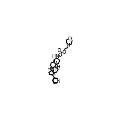 C[C@]12CCC(NOC(=O)OCCN3CCOCC3)C=C1CC[C@H]1[C@@H]2CC[C@]2(C)C(c3cccnc3)=CC[C@@H]12